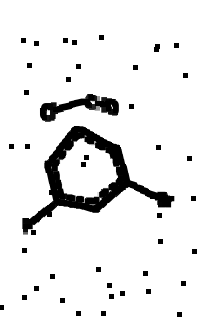 Fc1cccc(Br)c1.O=CCl